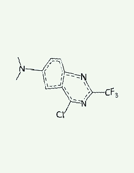 CN(C)c1ccc2nc(C(F)(F)F)nc(Cl)c2c1